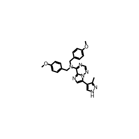 COc1ccc(CN(Cc2ccc(OC)cc2)c2ncnn3c(-c4c[nH]nc4C)cnc23)cc1